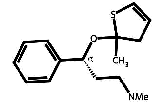 CNCC[C@@H](OC1(C)CC=CS1)c1ccccc1